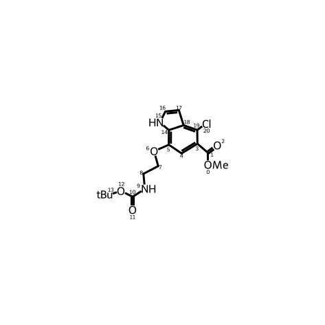 COC(=O)c1cc(OCCNC(=O)OC(C)(C)C)c2[nH]ccc2c1Cl